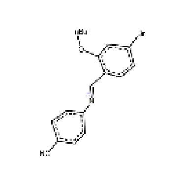 CCCCOc1cc(Br)ccc1/C=N/c1ccc(C#N)cc1